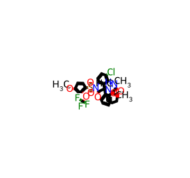 COc1ccc(S(=O)(=O)N2C(=O)C(NC3(C(=O)N(C)C)CCCCC3)(c3ccccc3OC)c3cc(Cl)ccc32)c(OC(F)(F)F)c1